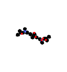 C(=C(c1ccccc1)c1ccccc1)c1ccc(N(c2ccccc2)c2ccc(-c3ccc(-c4c5ccccc5c(-c5ccc(-c6ccc(N(c7ccccc7)c7ccc(C=C(c8ccccc8)c8ccccc8)cc7)cc6)cc5)c5ccccc45)cc3)cc2)cc1